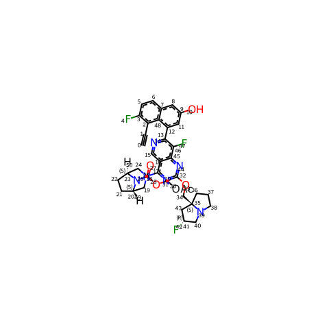 C#Cc1c(F)ccc2cc(O)cc(-c3ncc4c(N5C[C@@H]6CC[C@@H](C5)N6C(=O)OCOC(C)=O)nc(OC[C@@]56CCCN5C[C@H](F)C6)nc4c3F)c12